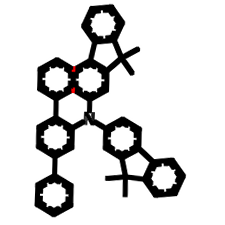 CC1(C)c2ccccc2-c2ccc(N(c3ccc4c(c3)C(C)(C)c3ccccc3-4)c3cc(-c4ccccc4)ccc3-c3ccccc3)cc21